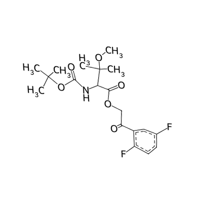 COC(C)(C)C(NC(=O)OC(C)(C)C)C(=O)OCC(=O)c1cc(F)ccc1F